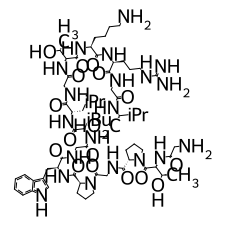 CC[C@H](C)[C@H](NC(=O)CNC(=O)[C@H](Cc1c[nH]c2ccccc12)NC(=O)[C@@H]1CCCN1C(=O)CNC(=O)[C@@H]1CCCN1C(=O)[C@@H](NC(=O)CN)[C@@H](C)O)C(=O)N[C@@H](CC(C)C)C(=O)NCC(=O)N[C@H](C(=O)N[C@@H](CCCCN)C(=O)N[C@@H](CCCNC(=N)N)C(=O)NCC(=O)N[C@H](C(=O)O)C(C)C)[C@@H](C)O